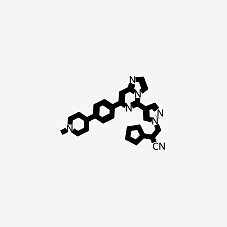 CN1CCC(c2ccc(-c3cc4nccn4c(-c4cnn(CC(C#N)C5CCCC5)c4)n3)cc2)CC1